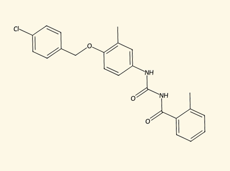 Cc1cc(NC(=O)NC(=O)c2ccccc2C)ccc1OCc1ccc(Cl)cc1